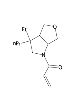 C=CC(=O)N1CC(CC)(CCC)C2COCC21